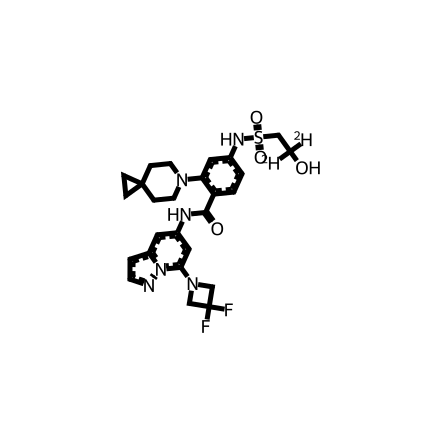 [2H]C([2H])(O)CS(=O)(=O)Nc1ccc(C(=O)Nc2cc(N3CC(F)(F)C3)n3nccc3c2)c(N2CCC3(CC2)CC3)c1